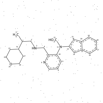 CC(CNCc1ncccc1N(C(=O)O)c1cc2ccccc2s1)C1CCOCC1